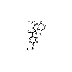 CCCC(C)(C(=O)c1ccc(SC)cc1)N1CCOCC1